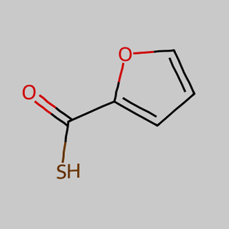 O=C(S)c1ccco1